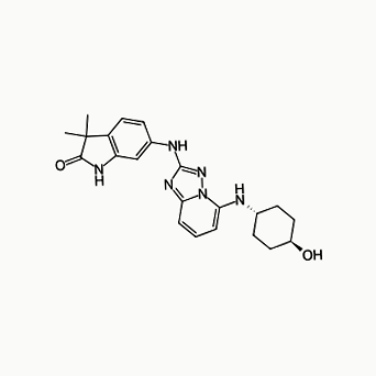 CC1(C)C(=O)Nc2cc(Nc3nc4cccc(N[C@H]5CC[C@H](O)CC5)n4n3)ccc21